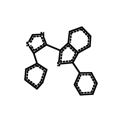 c1ccc(-c2scnc2-c2sc(-c3ccccc3)c3ccccc23)cc1